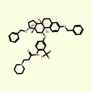 C[C@]12C[C@H](Oc3ccc(NC(=O)CCN4CCCCC4)c(C(F)(F)F)c3)[C@@H]3c4ccc(OCc5ccccc5)cc4CC[C@H]3[C@@H]1CC[C@@H]2OCc1ccccc1